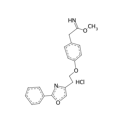 COC(=N)Cc1ccc(OCCc2coc(-c3ccccc3)n2)cc1.Cl